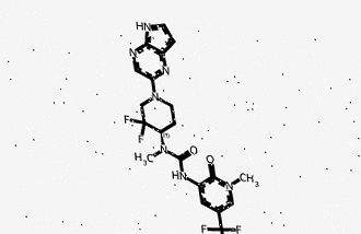 CN(C(=O)Nc1cc(C(F)(F)F)cn(C)c1=O)[C@@H]1CCN(c2cnc3[nH]ccc3n2)CC1(F)F